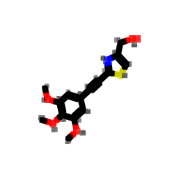 COc1cc(C#Cc2nc(CO)cs2)cc(OC)c1OC